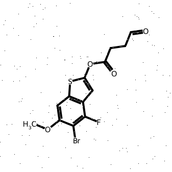 COc1cc2sc(OC(=O)CCC=O)cc2c(F)c1Br